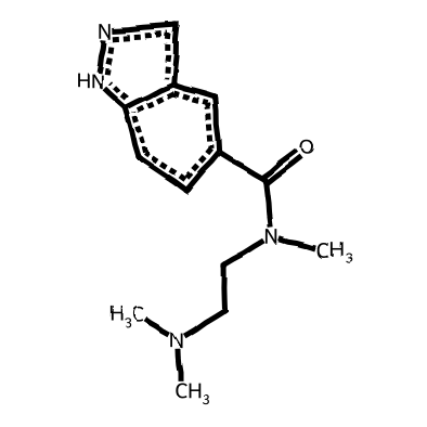 CN(C)CCN(C)C(=O)c1ccc2[nH]ncc2c1